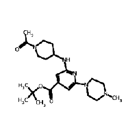 CC(=O)N1CCC(Nc2cc(C(=O)OC(C)(C)C)cc(N3CCN(C)CC3)n2)CC1